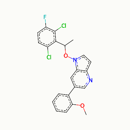 COc1ccccc1-c1cnc2ccn(OC(C)c3c(Cl)ccc(F)c3Cl)c2c1